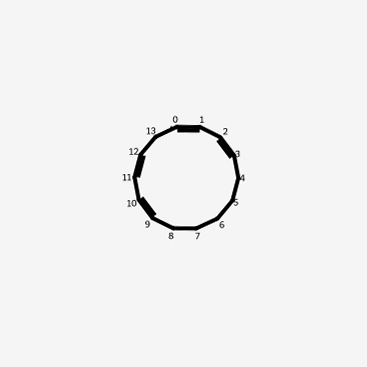 [C]1=CC=CCCCCCC=CC=CC1